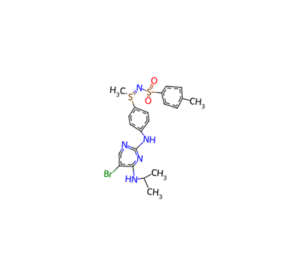 Cc1ccc(S(=O)(=O)N=[S@@](C)c2ccc(Nc3ncc(Br)c(NC(C)C)n3)cc2)cc1